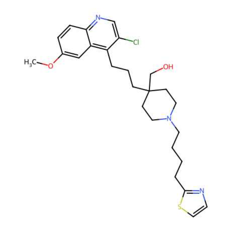 COc1ccc2ncc(Cl)c(CCCC3(CO)CCN(CCCCc4nccs4)CC3)c2c1